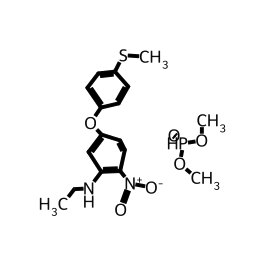 CCNc1cc(Oc2ccc(SC)cc2)ccc1[N+](=O)[O-].CO[PH](=O)OC